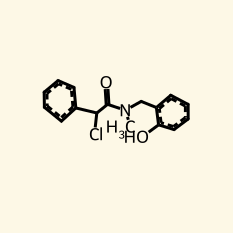 CN(Cc1ccccc1O)C(=O)C(Cl)c1ccccc1